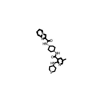 Cc1cnc(NC2CCSCC2)c(C(=O)N[C@H]2CC[C@@H](NC(=O)c3cn4ccccc4n3)CC2)c1